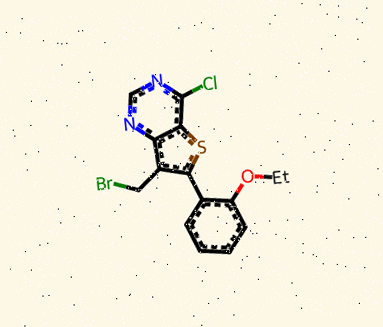 CCOc1ccccc1-c1sc2c(Cl)ncnc2c1CBr